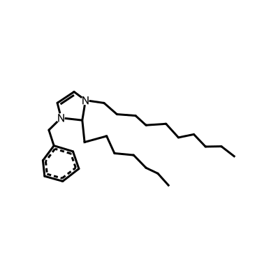 CCCCCCCCCCN1C=CN(Cc2ccccc2)C1CCCCCCC